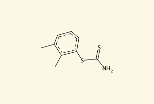 Cc1cccc(SC(N)=S)c1C